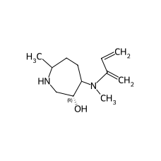 C=CC(=C)N(C)C1CCC(C)NC[C@H]1O